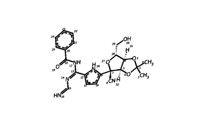 CC1(C)O[C@H]2[C@@H](O1)[C@](C#N)(c1ccc(/C(=N\C=N)NC(=O)c3ccccc3)[nH]1)O[C@@H]2CO